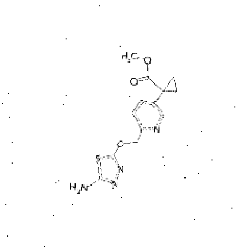 COC(=O)C1(c2ccc(COc3nnc(N)s3)nc2)CC1